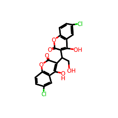 O=c1oc2ccc(Cl)cc2c(O)c1C(CO)c1c(O)c2cc(Cl)ccc2oc1=O